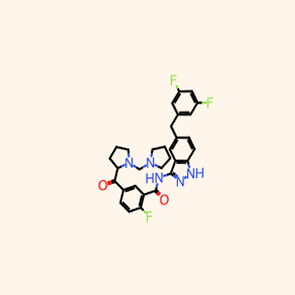 O=C(Nc1n[nH]c2ccc(Cc3cc(F)cc(F)c3)cc12)c1cc(C(=O)C2CCCN2CN2CCCC2)ccc1F